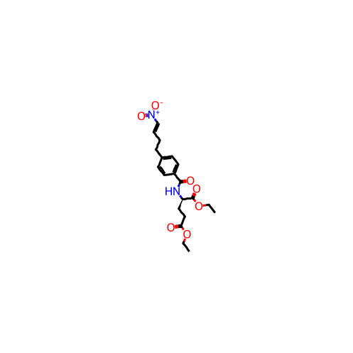 CCOC(=O)CC[C@@H](NC(=O)c1ccc(CCC=C[N+](=O)[O-])cc1)C(=O)OCC